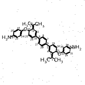 CC(C)=C1C=C(c2ccc(C3=CC(=C(C)C)C(Oc4ccc(N)cc4)C=C3)cc2)C=CC1Oc1ccc(N)cc1